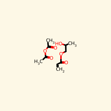 C=CC(=O)OCC(C)O.CC(=O)OC(C)=O